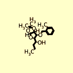 CCC[C@@H](O)[C@H]1O[C@@H]2OC(C)(C)O[C@@H]2[C@H]1OCc1ccccc1C